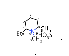 CCC1CCCCN1C.CS(=O)(=O)O